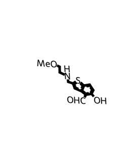 COCCNCc1cc2c(C=O)c(O)ccc2s1